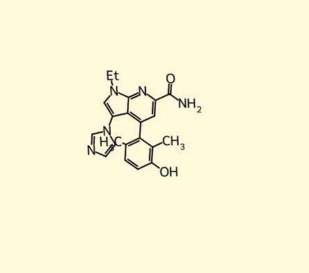 CCn1cc(-n2ccnc2)c2c(-c3c(C)ccc(O)c3C)cc(C(N)=O)nc21